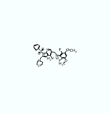 COc1cc(OC)c(F)c(NCc2cnc3c(cc(CN4CCOCC4)n3S(=O)(=O)c3ccccc3)c2N)c1F